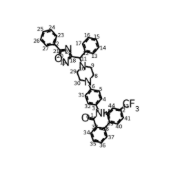 O=C(Nc1ccc(N2CCN(C(c3ccccc3)c3noc(-c4ccccc4)n3)CC2)cc1)c1ccccc1-c1ccc(C(F)(F)F)cc1